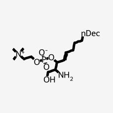 CCCCCCCCCCCCCC=CC(OP(=O)([O-])OCC[N+](C)(C)C)C(N)CO